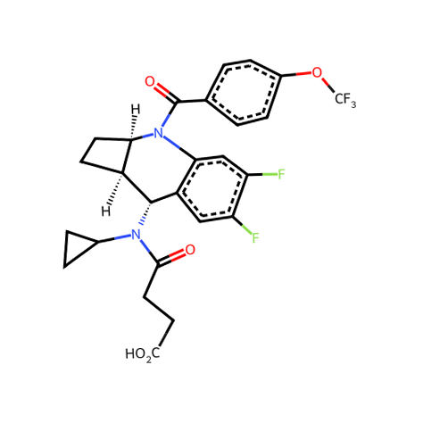 O=C(O)CCC(=O)N(C1CC1)[C@H]1c2cc(F)c(F)cc2N(C(=O)c2ccc(OC(F)(F)F)cc2)[C@@H]2CC[C@@H]21